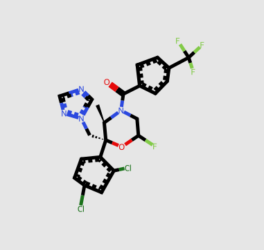 C[C@H]1N(C(=O)c2ccc(C(F)(F)F)cc2)CC(F)O[C@@]1(Cn1cncn1)c1ccc(Cl)cc1Cl